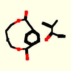 C=C(C)C(=O)OC.O=C1OCCCCOC(=O)c2ccc1cc2